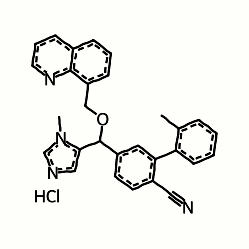 Cc1ccccc1-c1cc(C(OCc2cccc3cccnc23)c2cncn2C)ccc1C#N.Cl